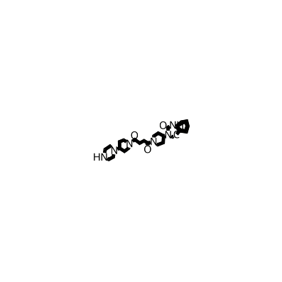 O=C(CCC(=O)N1CCC(N2CCc3ccccc3NC2=O)CC1)N1CCC(N2CCNCC2)CC1